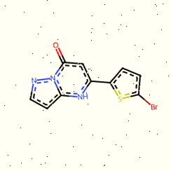 O=c1cc(-c2ccc(Br)s2)[nH]c2ccnn12